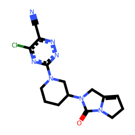 N#Cc1nnc(N2CCCC(N3CC4=CCCN4C3=O)C2)nc1Cl